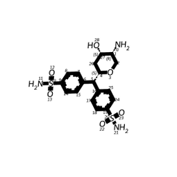 N[C@@H]1CO[C@H](C(c2ccc(S(N)(=O)=O)cc2)c2ccc(S(N)(=O)=O)cc2)C[C@@H]1O